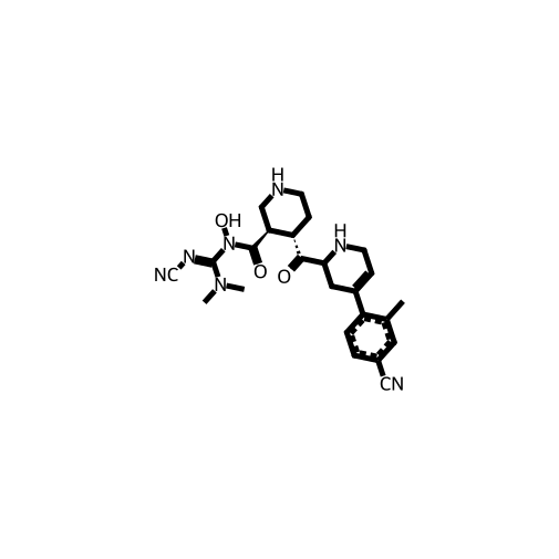 Cc1cc(C#N)ccc1C1=CCNC(C(=O)[C@H]2CCNC[C@@H]2C(=O)N(O)/C(=N/C#N)N(C)C)C1